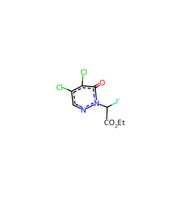 CCOC(=O)C(F)n1ncc(Cl)c(Cl)c1=O